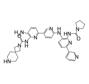 Nc1ccc(-c2ccc(Nc3ccc(-c4cccnc4)nc3NC(=O)N3CCCC3)nc2)nc1NC(=O)N1CC2(CCNCC2)C1